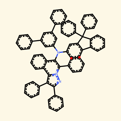 c1ccc(-c2cc(-c3ccccc3)cc(N(c3ccc4c(c3)C(c3ccccc3)(c3ccccc3)c3ccccc3-4)c3c(-c4ccccc4)n4nc(-c5ccccc5)c(-c5ccccc5)c4c4ccccc34)c2)cc1